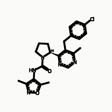 Cc1ncnc([C@H]2CCCN2C(=O)Nc2c(C)noc2C)c1Cc1ccc(Cl)cc1